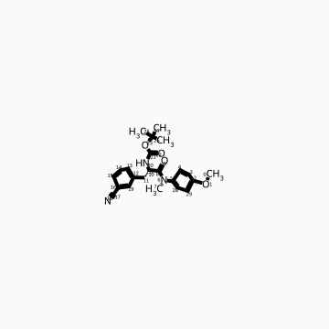 COc1ccc(N(C)C(=O)[C@H](Cc2cccc(C#N)c2)NC(=O)OC(C)(C)C)cc1